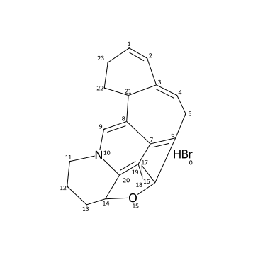 Br.C1=CC2=CCC3=C4C(=CN5CCCC6OC3CCC4=C65)C2CC1